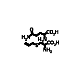 C=CCSCC(N)C(=O)O.NC(=O)CCC(N)C(=O)O